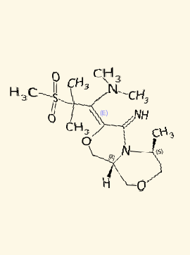 C[C@H]1COC[C@@H]2CO/C(=C(/N(C)C)C(C)(C)S(C)(=O)=O)C(=N)N21